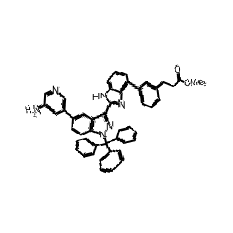 COC(=O)CCc1cccc(-c2cccc3[nH]c(-c4nn(C(c5ccccc5)(c5ccccc5)c5ccccc5)c5ccc(-c6cncc(N)c6)cc45)nc23)c1